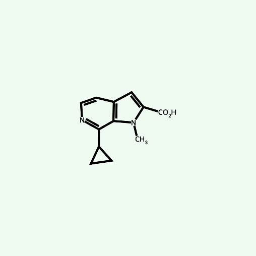 Cn1c(C(=O)O)cc2ccnc(C3CC3)c21